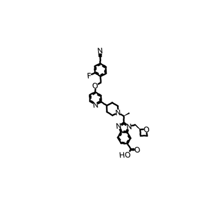 C[C@@H](c1nc2ccc(C(=O)O)cc2n1C[C@@H]1CCO1)N1CCC(c2cc(OCc3ccc(C#N)cc3F)ccn2)CC1